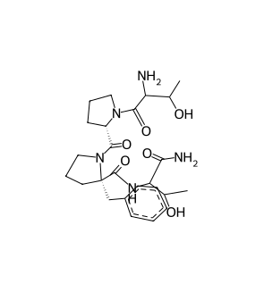 CC(O)C(N)C(=O)N1CCC[C@H]1C(=O)N1CCC[C@]1(Cc1ccccc1)C(=O)NC(C(N)=O)C(C)O